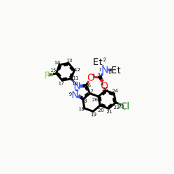 CCN(CC)C(=O)Oc1c2c(nn1-c1cccc(F)c1)CCc1cc(Cl)ccc1-2